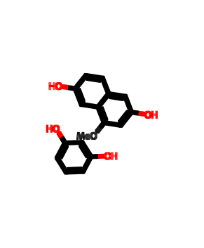 COc1cc(O)cc2ccc(O)cc12.Oc1cccc(O)c1